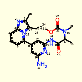 Cc1nc2cccc(-c3cc(N)nc(NC(=O)C(C)N(C)C(=O)OC(C)(C)C)c3)n2c1C